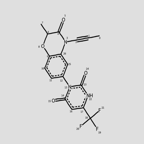 CC#CN1C(=O)C(C)Oc2ccc(-n3c(=O)cc(C(F)(F)F)[nH]c3=O)cc21